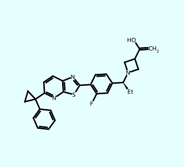 C=C(O)C1CN([C@@H](CC)c2ccc(-c3nc4ccc(C5(c6ccccc6)CC5)nc4s3)c(F)c2)C1